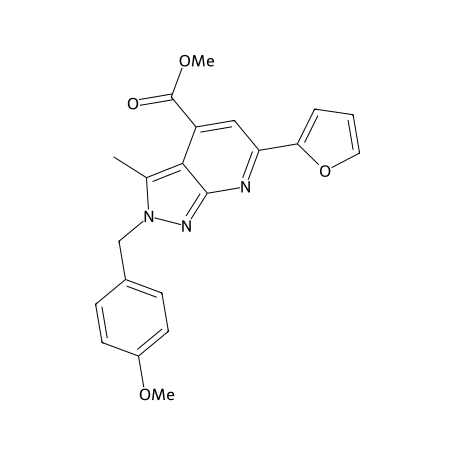 COC(=O)c1cc(-c2ccco2)nc2nn(Cc3ccc(OC)cc3)c(C)c12